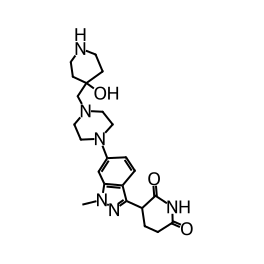 Cn1nc(C2CCC(=O)NC2=O)c2ccc(N3CCN(CC4(O)CCNCC4)CC3)cc21